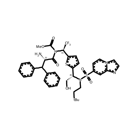 COC(=O)N(C(=O)[C@@H](N)C(c1ccccc1)c1ccccc1)[C@H](c1ccc([C@@H](CO)N(CCC(C)(C)C)S(=O)(=O)c2ccn3ccnc3c2)s1)C(F)(F)F